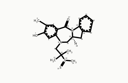 Cc1cc2c(cc1O)N(CC(C)(C)S(C)=S)C[C@@H]1Cc3ccccc3N1C2=O